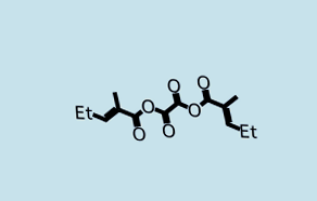 CC/C=C(\C)C(=O)OC(=O)C(=O)OC(=O)/C(C)=C/CC